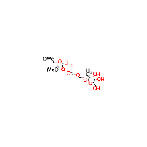 BC1OC(COC)C(OC)C1OCOCCOCCOC1OC(CO)C(O)C(O)C1C